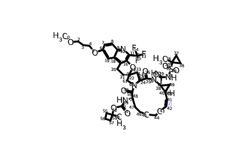 COCCCOc1ccc2nc(C(F)(F)F)c3c(c2c1)CC[C@]1(C[C@H]2C(=O)N[C@]4(C(=O)NS(=O)(=O)C5(C)CC5)C[C@H]4/C=C\CCCCC[C@H](NC(=O)OC4(C)CCC4)C(=O)N2C1)O3